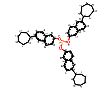 c1cc2cc(C3CCCCCC3)ccc2cc1OP(Oc1ccc2cc(C3CCCCCC3)ccc2c1)Oc1ccc2cc(C3CCCCCC3)ccc2c1